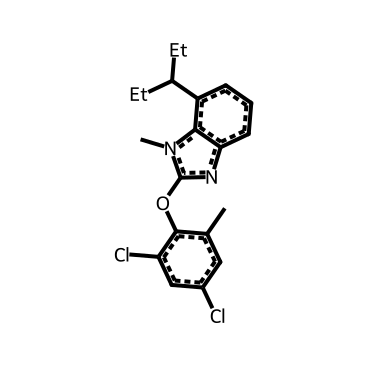 CCC(CC)c1cccc2nc(Oc3c(C)cc(Cl)cc3Cl)n(C)c12